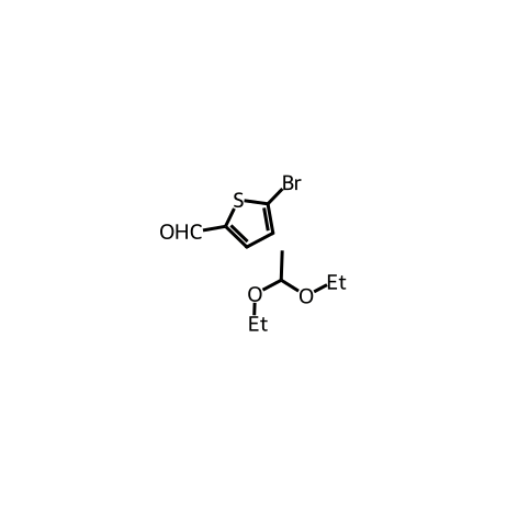 CCOC(C)OCC.O=Cc1ccc(Br)s1